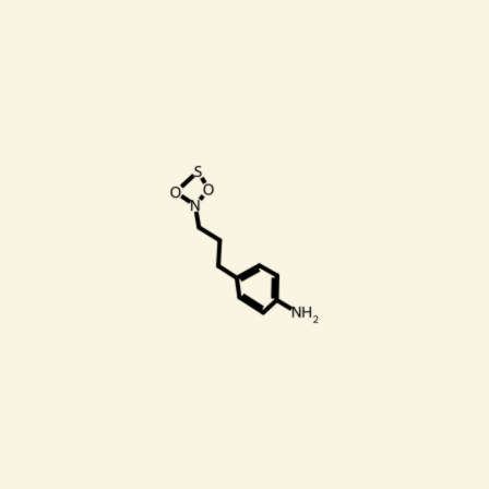 Nc1ccc(CCCN2OSO2)cc1